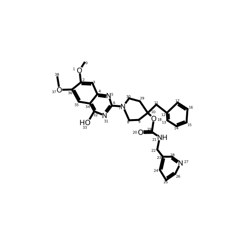 COc1cc2nc(N3CCC(Cc4ccccc4)(OC(=O)NCc4cccnc4)CC3)nc(O)c2cc1OC